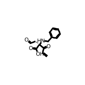 C=CC(=O)[C@](CC=O)(NCc1ccccc1)C(=O)O